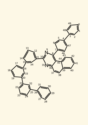 c1ccc(-c2ccc(-c3nc(-c4cccc(-c5cccc(-c6cccc(-c7ccccc7)c6)c5)c4)nc4ccc5ccccc5c34)cc2)cc1